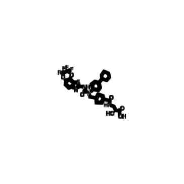 O=C(NC[C@@H](O)C(=O)O)c1ccc(CN(C(=O)Nc2nc3ccc4c(c3s2)OC(F)(F)C(F)(F)O4)c2ccc(C3CCCCC3)cc2)cc1